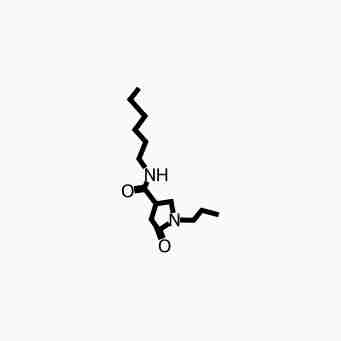 CCCCCCNC(=O)C1CC(=O)N(CCC)C1